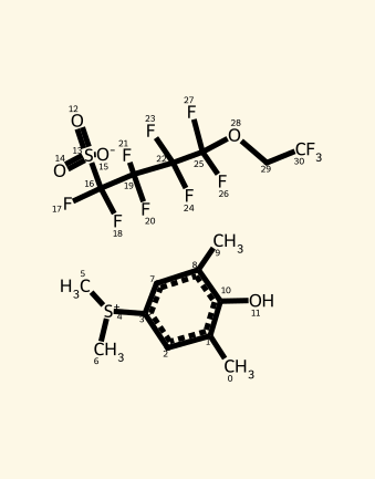 Cc1cc([S+](C)C)cc(C)c1O.O=S(=O)([O-])C(F)(F)C(F)(F)C(F)(F)C(F)(F)OCC(F)(F)F